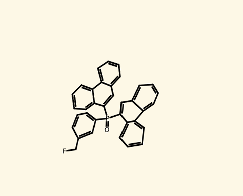 O=P(c1cccc(CF)c1)(c1cc2ccccc2c2ccccc12)c1cc2ccccc2c2ccccc12